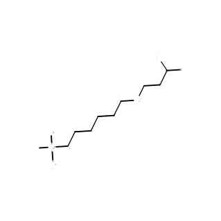 CCC[Si](F)(CCC)CCCCCC[SiH2]CCC(F)F